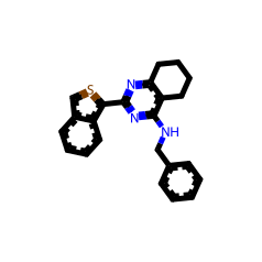 c1ccc(CNc2nc(-c3scc4ccccc34)nc3c2CCCC3)cc1